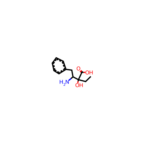 CCC(O)(C(=O)O)C(N)Cc1ccccc1